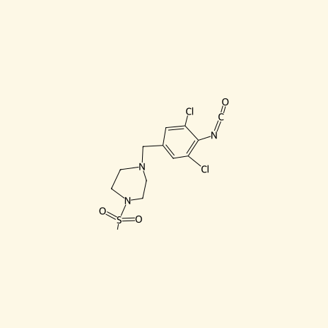 CS(=O)(=O)N1CCN(Cc2cc(Cl)c(N=C=O)c(Cl)c2)CC1